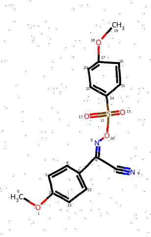 COc1ccc(C(C#N)=NOS(=O)(=O)c2ccc(OC)cc2)cc1